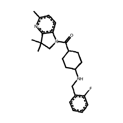 Cc1ccc2c(n1)C(C)(C)CN2C(=O)C1CCC(NCc2ccccc2F)CC1